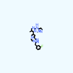 Cc1cnc(Nc2ccnn2C)nc1-c1cc2c3nnc(Cc4cccc(F)c4)n3ccn2c1